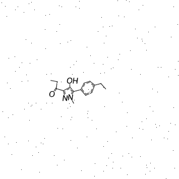 CCC(=O)c1nn(C)c(-c2ccc(CC)cc2)c1O